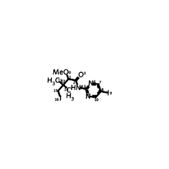 COC(C(=O)Nc1ncc(I)cn1)C(C)(C)CI